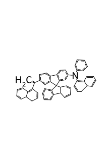 C=C(C1=C2C=CC=CC2CC=C1)c1ccc2c(c1)C1(c3cc(N(C4=C5C=CC=CC5CC=C4)c4ccccc4)ccc3-2)c2ccccc2C2C=CC=CC21